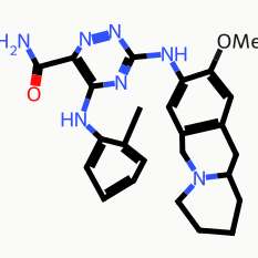 COc1cc2c(cc1Nc1nnc(C(N)=O)c(Nc3ccccc3C)n1)CN1CCCCC1C2